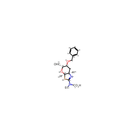 CCN(C(=O)O)C1=N[C@@H]2C[C@H](OCc3ccccc3)[C@@H](C=O)O[C@@H]2S1